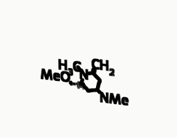 C=C1CC(NC)C[C@H](COC)N1C